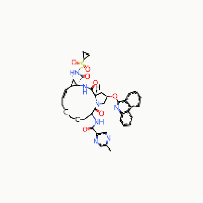 Cc1cnc(C(=O)N[C@H]2CCCCC/C=C\C3[C@H](C)[C@@]3(C(=O)NS(=O)(=O)C3CC3)NC(=O)[C@@H]3C[C@@H](Oc4nc5ccccc5c5ccccc45)CN3C2=O)cn1